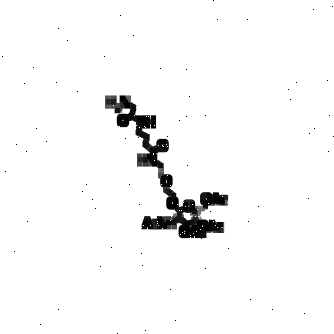 CC(=O)N[C@H]1C(OCCOCCNC(=O)CCCNC(=O)CN)O[C@H](COC(C)=O)[C@H](OC(C)=O)[C@@H]1OC(C)=O